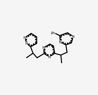 CC(C)c1cncc(CC(C)c2ccnc(CC(C)c3cccnn3)n2)n1